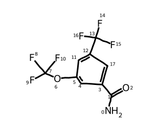 NC(=O)c1cc(OC(F)(F)F)cc(C(F)(F)F)c1